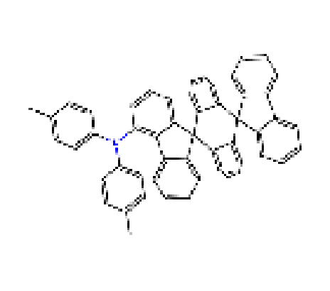 Cc1ccc(N(c2ccc(C)cc2)c2cccc3c2-c2ccccc2C32c3ccccc3C3(c4ccccc4-c4ccccc43)c3ccccc32)cc1